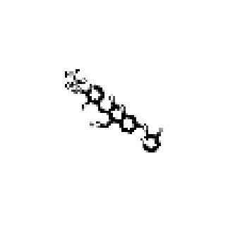 CNS(=O)(=O)Nc1nccc(Cc2c(CO)c3ccc(Oc4ncccc4F)cc3oc2=O)c1F